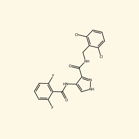 O=C(NCc1c(Cl)cccc1Cl)c1n[nH]cc1NC(=O)c1c(F)cccc1F